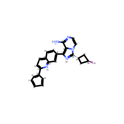 Nc1nccn2c1c(-c1ccc3ccc(-c4ccccc4)nc3c1)nc2[C@H]1C[C@H](I)C1